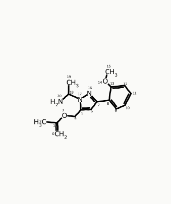 C=C(C)OCc1cc(-c2ccccc2OC)nn1C(C)N